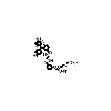 Cc1c2oc3c(C)c(N)ccc3c(-c3cc(C(=O)NCCNC(=O)c4cccc(OCC(N=[N+]=[N-])OCCOCC(=O)O)c4)ccc3C(=O)O)c-2ccc1=N